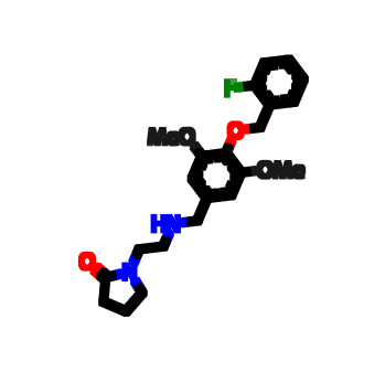 COc1cc(CNCCN2CCCC2=O)cc(OC)c1OCc1ccccc1F